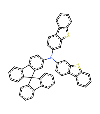 c1ccc2c(c1)-c1ccccc1C21c2ccccc2-c2ccc(N(c3ccc4c(c3)sc3ccccc34)c3ccc4c(c3)sc3ccccc34)cc21